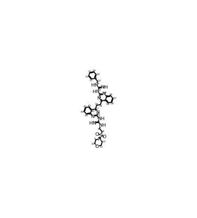 N=C(NCCS(=O)(=O)N1CCOCC1)Nc1nc(CCc2nc(NC(=N)NCc3ccccc3)nc3ccccc23)c2ccccc2n1